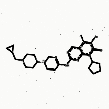 CC(=O)c1c(C)c2cnc(NC3=NC[C@@H](C4CCN(CC5CC5)CC4)C=C3)nc2n(C2CCCC2)c1=O